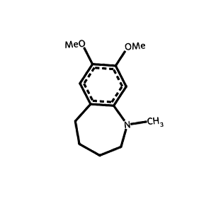 COc1cc2c(cc1OC)N(C)CCCC2